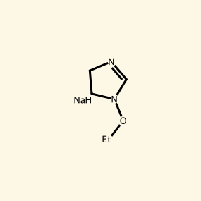 CCON1C=NCC1.[NaH]